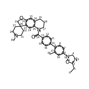 CCC1=NCN(c2ccc(-c3ccc(C(=O)N4CCCc5cc6c(cc54)C4(CCN(C)CC4)CO6)cc3)c(C)c2)O1